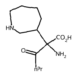 CCCC(=O)C(N)(C(=O)O)C1CCCCNC1